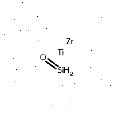 O=[SiH2].[Ti].[Zr]